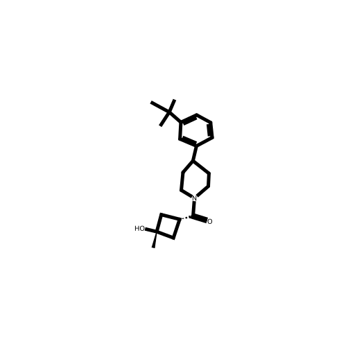 CC(C)(C)c1cccc(C2CCN(C(=O)[C@H]3C[C@@](C)(O)C3)CC2)c1